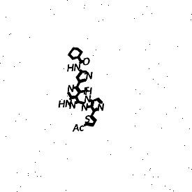 CC(=O)c1ccc(-c2nccc3[nH]c(-c4n[nH]c5cnc(-c6cncc(NC(=O)C7CCCCC7)c6)c(F)c45)nc23)s1